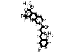 COC(=O)c1cc2c(nc1C(F)(F)F)CN(C(=O)C[C@H](N)Cc1cc(F)ccc1F)CC2